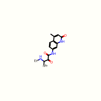 CCCC(NCC)C(=O)C(=O)Nc1ccc2c(C)cc(=O)[nH]c2c1